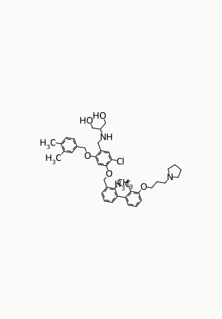 Cc1ccc(COc2cc(OCc3cccc(-c4cccc(OCCCN5CCCC5)c4C)c3C)c(Cl)cc2CNC(CO)CO)cc1C